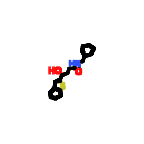 O=C(CCC(O)c1cc2ccccc2s1)NCc1ccccc1